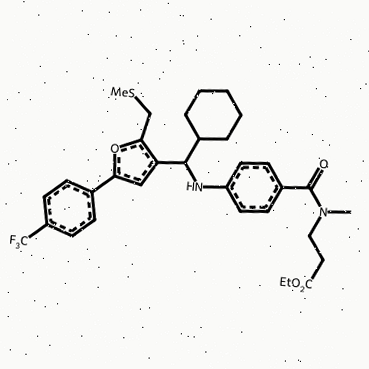 CCOC(=O)CCN(C)C(=O)c1ccc(NC(c2cc(-c3ccc(C(F)(F)F)cc3)oc2CSC)C2CCCCC2)cc1